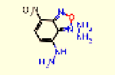 NN.NNc1ccc([N+](=O)[O-])c2nonc12